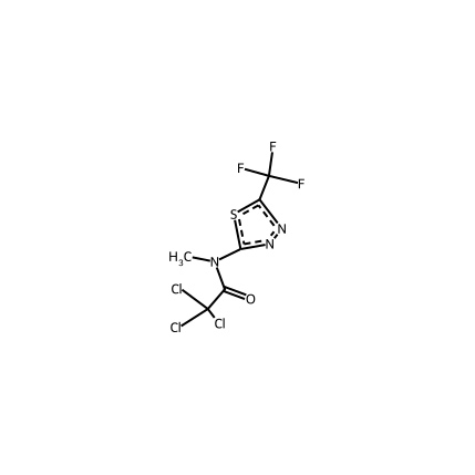 CN(C(=O)C(Cl)(Cl)Cl)c1nnc(C(F)(F)F)s1